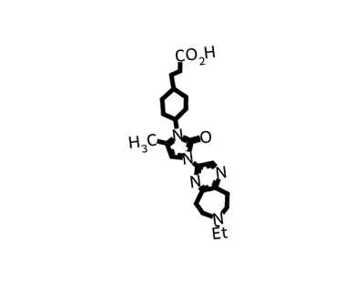 CCN1CCc2ncc(-n3cc(C)n(C4CCC(CCC(=O)O)CC4)c3=O)nc2CC1